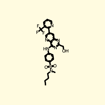 CCCCN(C)S(=O)(=O)c1ccc(Nc2nc(CO)nc3cc(-c4ncccc4C(F)(F)F)cnc23)cc1